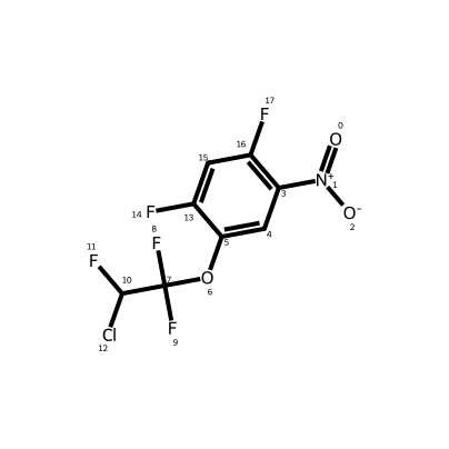 O=[N+]([O-])c1cc(OC(F)(F)C(F)Cl)c(F)cc1F